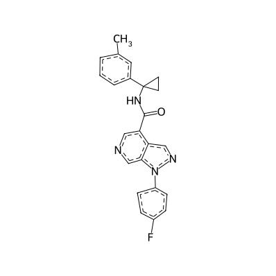 Cc1cccc(C2(NC(=O)c3cncc4c3cnn4-c3ccc(F)cc3)CC2)c1